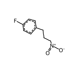 O=[N+]([O-])CCCc1ccc(F)cc1